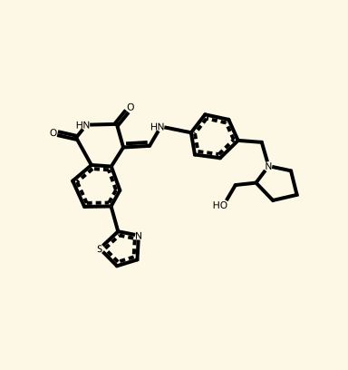 O=C1NC(=O)c2ccc(-c3nccs3)cc2C1=CNc1ccc(CN2CCCC2CO)cc1